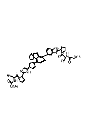 COC(=O)NC(C(=O)N1CCCC1c1ncc(-c2ccc(-c3ccc(-c4ccc5[nH]c(C6CCCN6C(=O)C(NC(=O)OC)C(C)C)nc5c4)c4c3C3(CCCC3)CC4)cc2)[nH]1)C(C)C